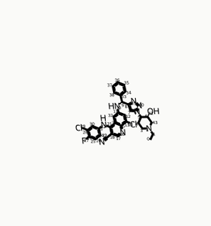 CCN1CCC(n2cc([C@@H](Nc3cc(Cl)c4ncc(C#N)c(Nc5ccc(F)c(Cl)c5)c4c3)c3ccccc3)nn2)[C@H](O)C1